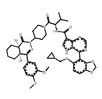 COc1ccc(C2=NN(C3CCN(C(=O)[C@H](NC(=O)c4c[nH]c5c(-c6c(OCC7CC7)ccc7c6OCO7)ncnc45)C(C)C)CC3)C(=O)[C@@H]3CCCC[C@H]23)cc1OC